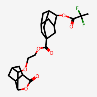 CC(F)(F)C(=O)OC1C2CC3CC1CC(C(=O)OCCOC1C4CC5C(=O)OC1C5C4)(C3)C2